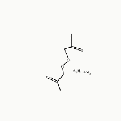 CC(=O)COOCC(C)=O.[AlH3].[AlH3]